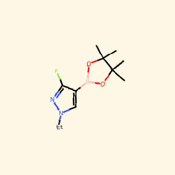 CCn1cc(B2OC(C)(C)C(C)(C)O2)c(F)n1